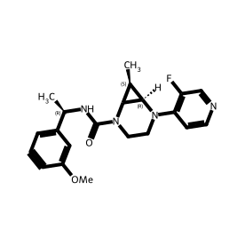 COc1c#ccc([C@@H](C)NC(=O)N2CCN(c3ccncc3F)[C@H]3C2[C@H]3C)c1